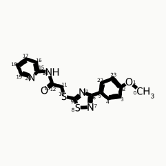 COc1ccc(-c2nsc(SCC(=O)Nc3ccccn3)n2)cc1